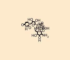 NCC1O[C@H](O[P@@](=O)(O)O[P@@](=O)(O)OC[C@H]2O[C@@H](n3ccc(=O)[nH]c3=O)C(O)C2O)C(N)C(O)[C@@H]1O